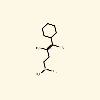 C/C(CCN(C)C)=C(/C)C1CCCCC1